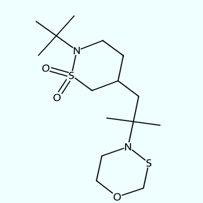 CC(C)(C)N1CCC(CC(C)(C)N2CCOCS2)CS1(=O)=O